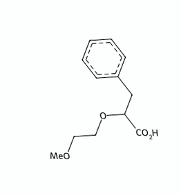 COCCOC(Cc1ccccc1)C(=O)O